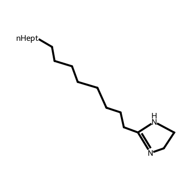 CCCCCCCCCCCCCCCC1=NCCN1